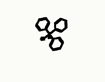 C[CH][PH](c1ccccc1)(c1ccccc1)c1ccccc1